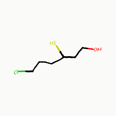 OCCC(S)CCCCl